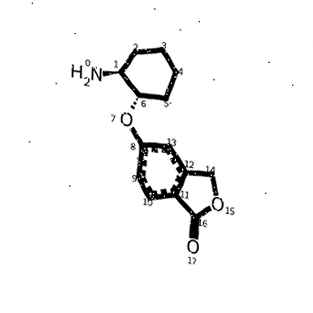 N[C@H]1CCCC[C@@H]1Oc1ccc2c(c1)COC2=O